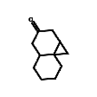 O=C1CC2CCCCC23CC3C1